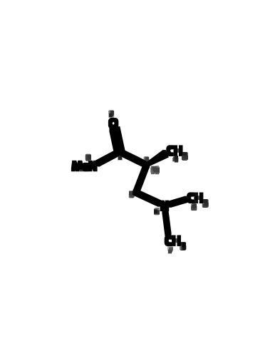 CNC(=O)[C@@H](C)CN(C)C